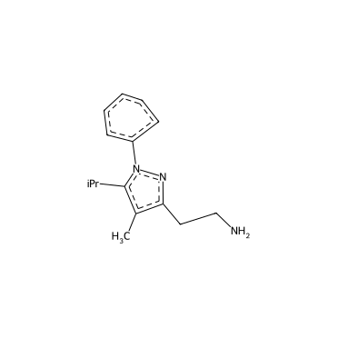 Cc1c(CCN)nn(-c2ccccc2)c1C(C)C